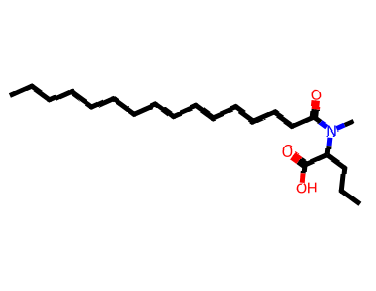 CCCCCCCCCCCCCCCC(=O)N(C)C(CCC)C(=O)O